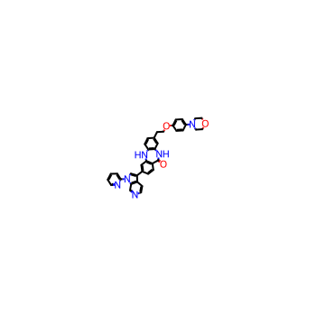 O=C1Nc2cc(CCOc3ccc(N4CCOCC4)cc3)ccc2Nc2cc(-c3cn(-c4ccccn4)c4cnccc34)ccc21